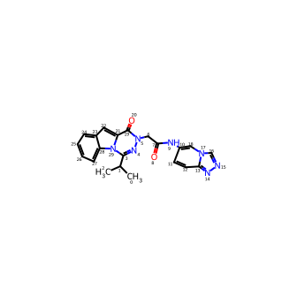 CC(C)c1nn(CC(=O)Nc2ccc3nncn3c2)c(=O)c2cc3ccccc3n12